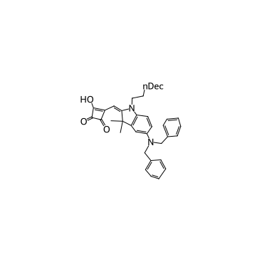 CCCCCCCCCCCCN1/C(=C/c2c(O)c(=O)c2=O)C(C)(C)c2cc(N(Cc3ccccc3)Cc3ccccc3)ccc21